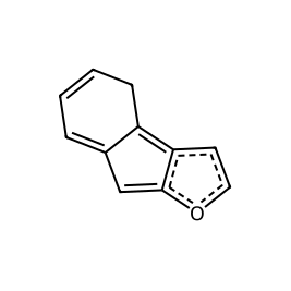 C1=CCC2=c3ccoc3=CC2=C1